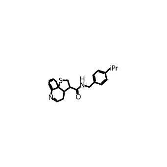 CC(C)c1ccc(CNC(=O)C2CSC34CC=CC=C3N=CCC24)cc1